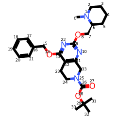 CN1CCCC[C@H]1COc1nc2c(c(OCc3ccccc3)n1)CCN(C(=O)OC(C)(C)C)C2